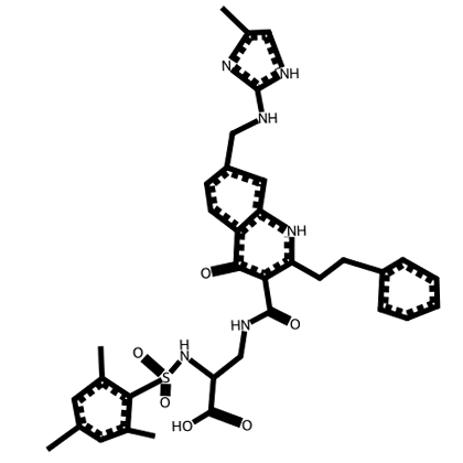 Cc1cc(C)c(S(=O)(=O)NC(CNC(=O)c2c(CCc3ccccc3)[nH]c3cc(CNc4nc(C)c[nH]4)ccc3c2=O)C(=O)O)c(C)c1